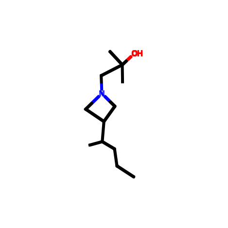 CCCC(C)C1CN(CC(C)(C)O)C1